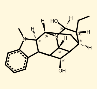 CC[C@@H]1[C@@H]2C[C@H]3[C@@H]4N(C)c5ccccc5C45C[C@@H](C2[C@H]5O)N3[C@H]1O